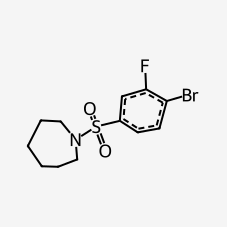 O=S(=O)(c1ccc(Br)c(F)c1)N1CCCCCC1